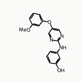 COc1cccc(Oc2cnc(Nc3cccc(O)c3)nc2)c1